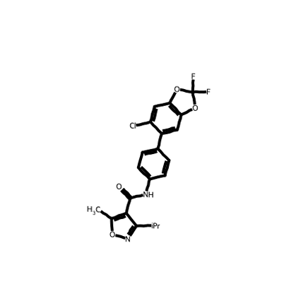 Cc1onc(C(C)C)c1C(=O)Nc1ccc(-c2cc3c(cc2Cl)OC(F)(F)O3)cc1